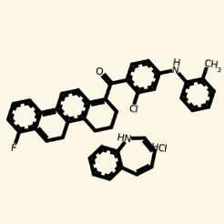 C1=CNc2ccccc2C=C1.Cc1ccccc1Nc1ccc(C(=O)C2=c3ccc4c(c3CCC2)CC=c2c(F)cccc2=4)c(Cl)c1.Cl